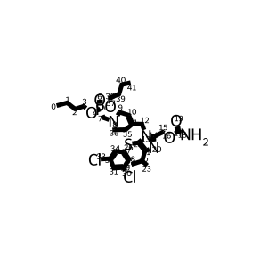 CCCCOP(=O)(CN1CC=C(Cn2c(COC(N)=O)nc(C(C)C)c2Sc2cc(Cl)cc(Cl)c2)CC1)OCCCC